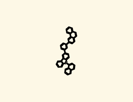 c1cc(-c2ccc3ccc4ccccc4c3c2)cc(-c2ccc3c(c2)c2ccccc2n3-c2cccc3ccccc23)c1